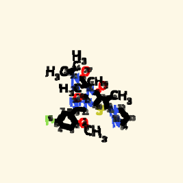 COc1ccc(F)cc1C(=N)Cn1c(=O)n(C(C)(C)C(=O)NC(C)C)c(=O)c2c(C)c(-n3cccn3)sc21